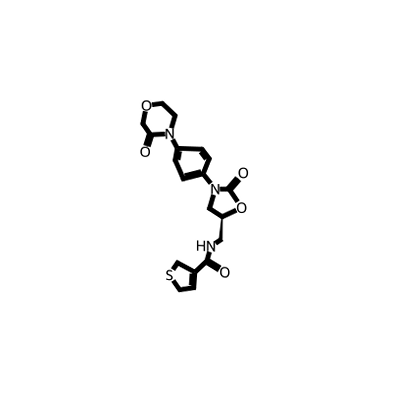 O=C(NC[C@H]1CN(c2ccc(N3CCOCC3=O)cc2)C(=O)O1)C1=CCSC1